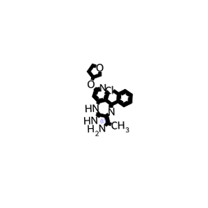 C/C(N)=C1\N=C(c2ccccc2Cl)c2cnc(OC3CCOC3)cc2NC1=N